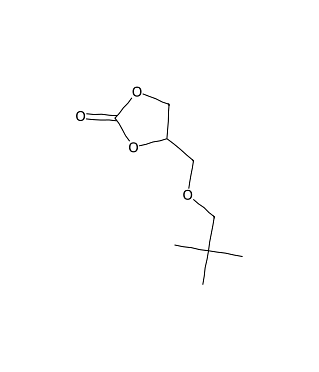 CC(C)(C)COCC1COC(=O)O1